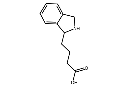 O=C(O)CCCC1NCc2ccccc21